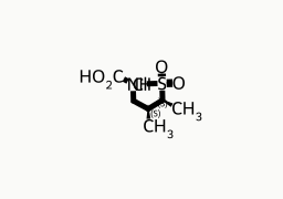 C[C@@H](CNC(=O)O)[C@H](C)S(=O)(=O)Cl